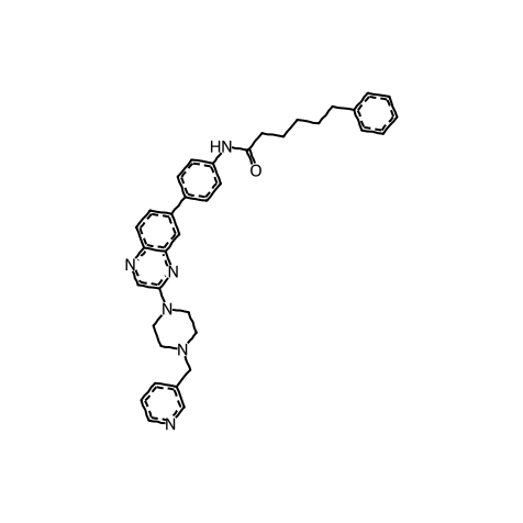 O=C(CCCCCc1ccccc1)Nc1ccc(-c2ccc3ncc(N4CCN(Cc5cccnc5)CC4)nc3c2)cc1